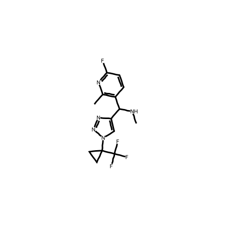 CNC(c1cn(C2(C(F)(F)F)CC2)nn1)c1ccc(F)nc1C